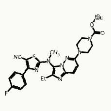 CCc1nc2ccc(N3CCN(C(=O)OC(C)(C)C)CC3)nn2c1N(C)c1nc(-c2ccc(F)cc2)c(C#N)s1